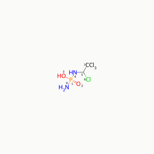 NP(=O)(O)NC(Cl)C(Cl)(Cl)Cl